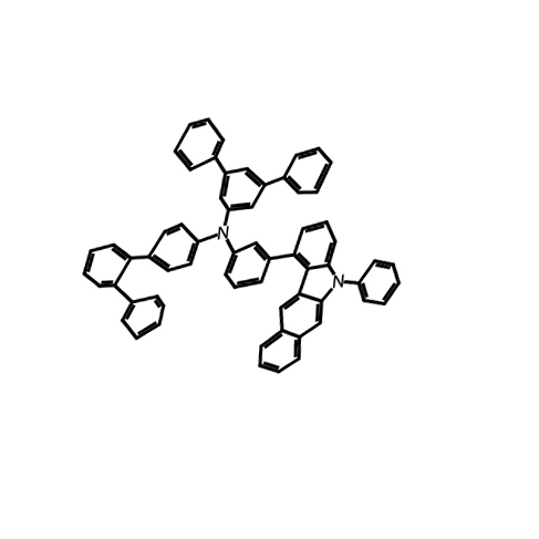 c1ccc(-c2cc(-c3ccccc3)cc(N(c3ccc(-c4ccccc4-c4ccccc4)cc3)c3cccc(-c4cccc5c4c4cc6ccccc6cc4n5-c4ccccc4)c3)c2)cc1